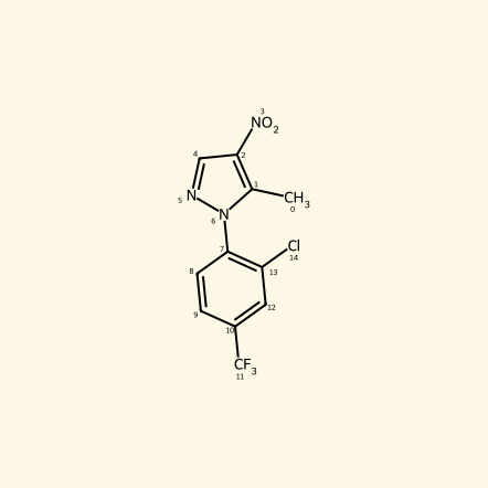 Cc1c([N+](=O)[O-])cnn1-c1ccc(C(F)(F)F)cc1Cl